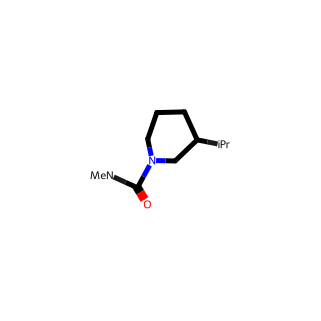 CNC(=O)N1CCCC(C(C)C)C1